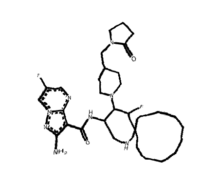 Nc1nn2cc(F)cnc2c1C(=O)NC1CNC2(CCCCCCCCC2)C(F)C1N1CCC(CN2CCCC2=O)CC1